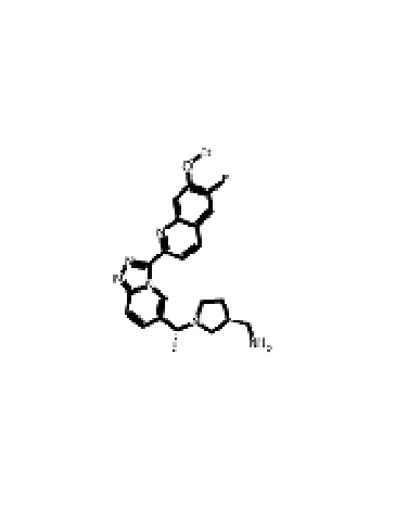 CCOc1cc2nc(-c3nnc4ccc([C@@H](C)N5CC[C@@H](CN)C5)cn34)ccc2cc1F